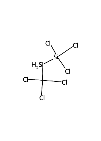 ClC(Cl)(Cl)[SiH2][Si](Cl)(Cl)Cl